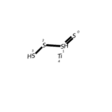 S=[SH]SS.[Ti]